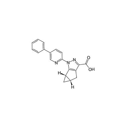 O=C(O)c1nn(-c2ccc(-c3ccccc3)cn2)c2c1C[C@@H]1C[C@H]21